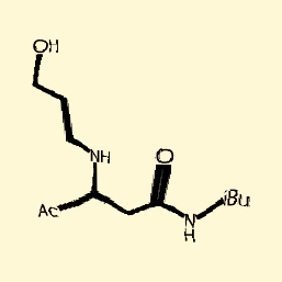 CCC(C)NC(=O)CC(NCCCO)C(C)=O